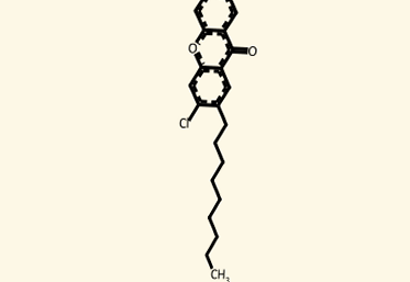 CCCCCCCCCc1cc2c(=O)c3ccccc3oc2cc1Cl